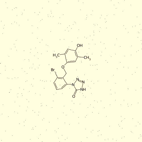 Cc1cc(OCc2c(Br)cccc2-n2nn[nH]c2=O)c(C)cc1O